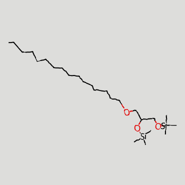 CCCCCCCCCCCCCCCCOCC(CO[Si](C)(C)C)O[Si](C)(C)C